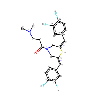 CCN(CC)CCC(=O)N1C/C(=C\c2ccc(F)c(F)c2)S/C(=C/c2ccc(F)c(F)c2)C1